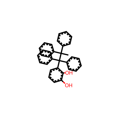 CC(c1ccccc1)(c1ccccc1)C(c1ccccc1)(c1ccccc1)c1cccc(O)c1O